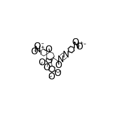 COc1ccc(C2c3c4cc(OC)c(OC)c3C3(C=CC([N+](=O)[O-])=CC3)C(=O)CC4C2C(=O)N2CCN(c3ccc([N+](=O)[O-])cc3)CC2)cc1OC